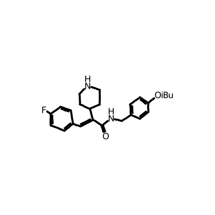 CC(C)COc1ccc(CNC(=O)C(=Cc2ccc(F)cc2)C2CCNCC2)cc1